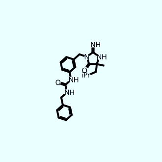 CC(C)CC1(C)NC(=N)N(Cc2cccc(NC(=O)NCc3ccccc3)c2)C1=O